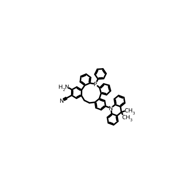 CC1(C)c2ccccc2N(c2ccc3c(c2)-c2ccccc2P(c2ccccc2)c2ccccc2-c2cc(N)c(C#N)cc2CC3)c2ccccc21